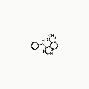 COc1cccc2ncnc(Nc3ccccc3)c12